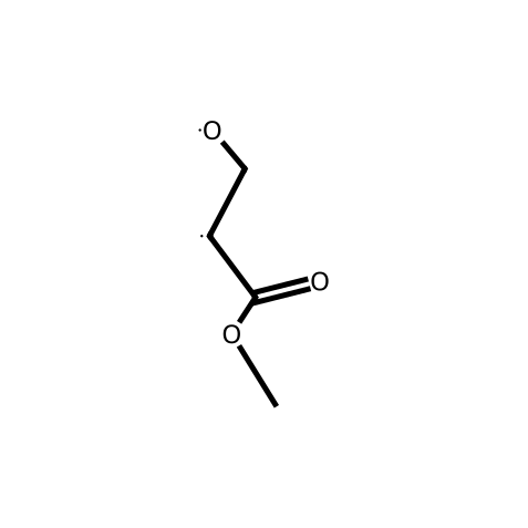 COC(=O)[CH]C[O]